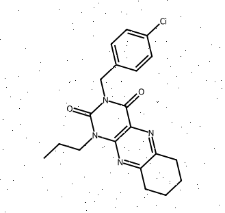 CCCn1c(=O)n(Cc2ccc(Cl)cc2)c(=O)c2nc3c(nc21)CCCC3